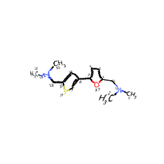 CN(C)Cc1ccc(-c2[c]sc(CN(C)C)c2)o1